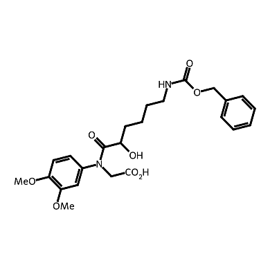 COc1ccc(N(CC(=O)O)C(=O)C(O)CCCCNC(=O)OCc2ccccc2)cc1OC